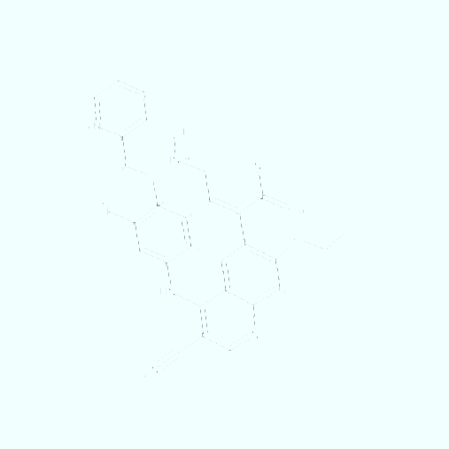 CCOc1cc2ncc(C#N)c(Nc3ccc(OCc4ccccn4)c(Cl)c3)c2cc1C(=CCNC)C(N)=O